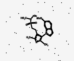 CCCCN(C(=O)O)S(=O)(=O)CCc1c(C)nn(C)c1-n1ccc2ccc(OC)cc21